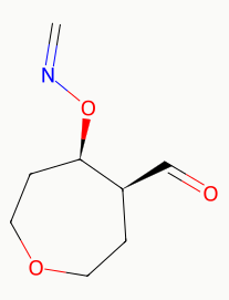 C=NO[C@@H]1CCOCC[C@@H]1C=O